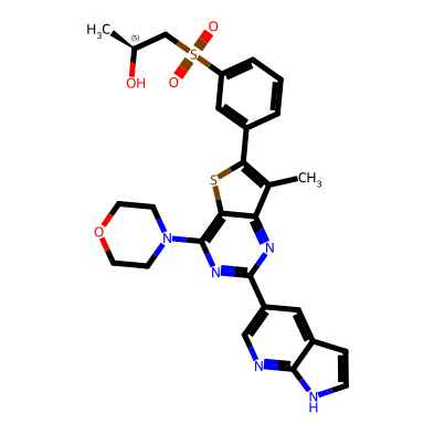 Cc1c(-c2cccc(S(=O)(=O)C[C@H](C)O)c2)sc2c(N3CCOCC3)nc(-c3cnc4[nH]ccc4c3)nc12